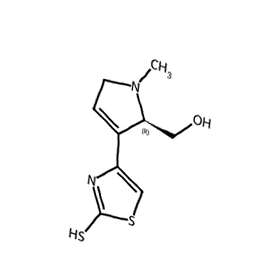 CN1CC=C(c2csc(S)n2)[C@@H]1CO